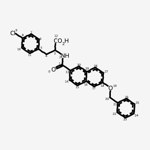 O=C(NC(Cc1ccc(Cl)cc1)C(=O)O)c1ccc2cc(OCc3ccccc3)ccc2c1